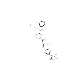 COCCCn1c([C@@H]2CCCN(C(=O)C[C@H](N)Cc3ccc(-c4c(C)n[nH]c4C)cc3)C2)nc2ccccc21